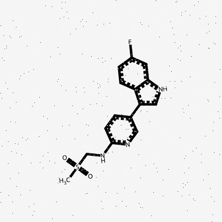 CS(=O)(=O)CNc1ccc(-c2c[nH]c3cc(F)ccc23)cn1